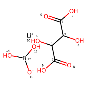 O=C(O)C(O)C(O)C(=O)O.[Li+].[O-]B(O)O